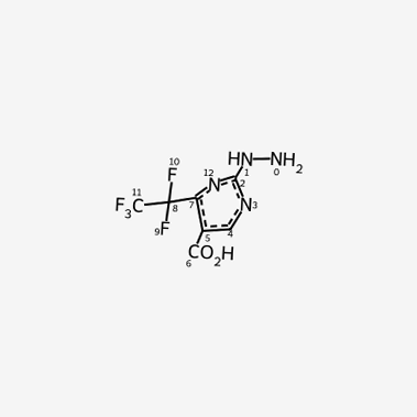 NNc1ncc(C(=O)O)c(C(F)(F)C(F)(F)F)n1